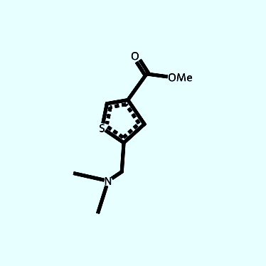 COC(=O)c1csc(CN(C)C)c1